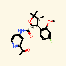 COc1cc(F)ccc1[C@H]1[C@H](C(=O)Nc2ccnc(C(C)=O)c2)OC(C)(C)[C@H]1C